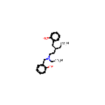 O=C(O)CC(CCN(CC(=O)O)Cc1ccccc1O)Cc1ccccc1O